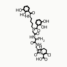 O=C(CN(CCCCNC(=O)c1cccc(O)c1O)C(=O)c1cccc(O)c1O)N[C@@H](P)C(=O)NC[C@@H]1C(=O)N2C(C(=O)O)=C(Cl)CC[C@H]12